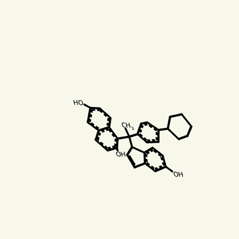 CC(c1ccc(C2CCCCC2)cc1)(c1c(O)ccc2cc(O)ccc12)C1C=Cc2cc(O)ccc21